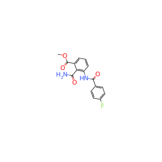 COC(=O)c1cccc(NC(=O)c2ccc(F)cc2)c1C(N)=O